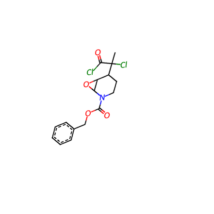 CC(Cl)(C(=O)Cl)C1CCN(C(=O)OCc2ccccc2)C2OC21